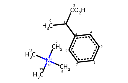 CC(C(=O)O)c1ccccc1.C[N+](C)(C)C